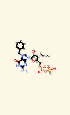 COC[C@H]1[C@@H](O)[C@H](n2c[n+](Cc3ccccc3)c3c(=O)[nH]c(N)nc32)O[C@@H]1COP(=O)(O)OP(=O)([O-])O